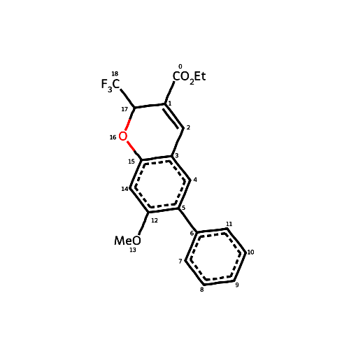 CCOC(=O)C1=Cc2cc(-c3ccccc3)c(OC)cc2OC1C(F)(F)F